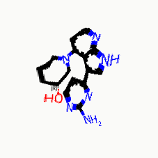 Nc1nccc(-c2c[nH]c3nccc(N4CCC[C@@H](O)C4)c23)n1